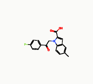 Cc1ccc2c(c1)cc(C(=O)O)n2CC(=O)c1ccc(F)cc1